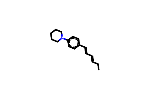 [CH2]CC=CC=Cc1ccc(N2CCCCC2)cc1